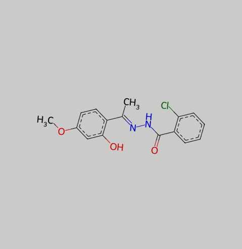 COc1ccc(/C(C)=N/NC(=O)c2ccccc2Cl)c(O)c1